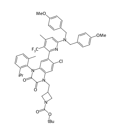 COc1ccc(CN(Cc2ccc(OC)cc2)c2cc(C)c(C(F)(F)F)c(-c3cc4c(cc3Cl)n(CC3CN(C(=O)OC(C)(C)C)C3)c(=O)c(=O)n4-c3c(C)cccc3C(C)C)n2)cc1